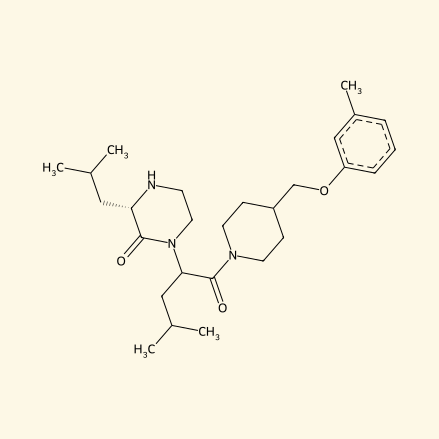 Cc1cccc(OCC2CCN(C(=O)C(CC(C)C)N3CCN[C@@H](CC(C)C)C3=O)CC2)c1